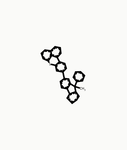 CC1(c2ccccc2)c2ccccc2-c2ccc(-c3ccc4c(c3)Sc3cccc5cccc-4c35)cc21